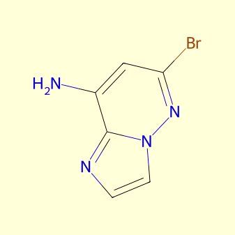 Nc1cc(Br)nn2ccnc12